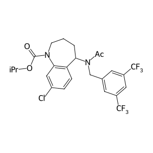 CC(=O)N(Cc1cc(C(F)(F)F)cc(C(F)(F)F)c1)C1CCCN(C(=O)OC(C)C)c2cc(Cl)ccc21